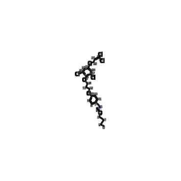 CCCCO/N=C/c1ccc(OCCCOc2c(Cl)cc(OCC=C(Cl)Cl)cc2Cl)cc1